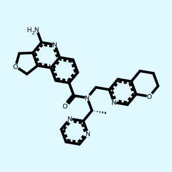 C[C@H](c1ncccn1)N(Cc1cc2c(cn1)OCCC2)C(=O)c1ccc2nc(N)c3c(c2c1)COC3